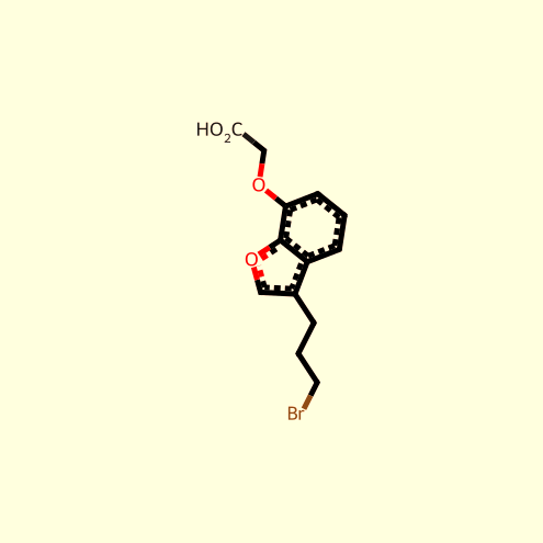 O=C(O)COc1cccc2c(CCCBr)coc12